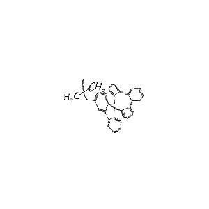 CC(C)(I)Cc1ccc2c(c1)-c1ccccc1C21c2ccccc2-c2ccccc2-c2ccccc21